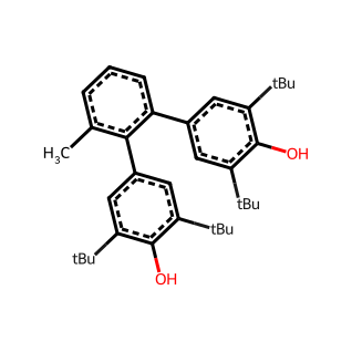 Cc1cccc(-c2cc(C(C)(C)C)c(O)c(C(C)(C)C)c2)c1-c1cc(C(C)(C)C)c(O)c(C(C)(C)C)c1